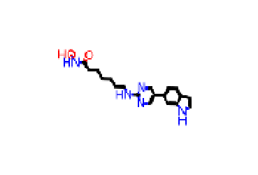 O=C(CCCCCCNc1ncc(-c2ccc3cc[nH]c3c2)cn1)NO